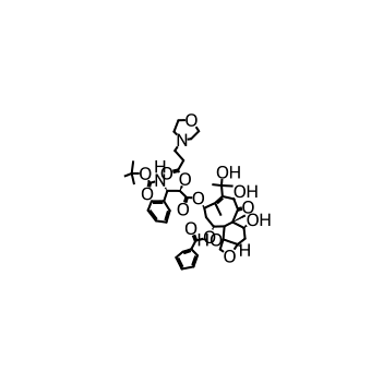 C/C1=C(/C(C)(C)O)[C@@H](O)C(=O)[C@@]2(C)C([C@H](OC(=O)c3ccccc3)C[C@@H]1OC(=O)[C@H](OC(=O)CCN1CCOCC1)[C@@H](NC(=O)OC(C)(C)C)c1ccccc1)[C@]1(O)CO[C@@H]1C[C@@H]2O